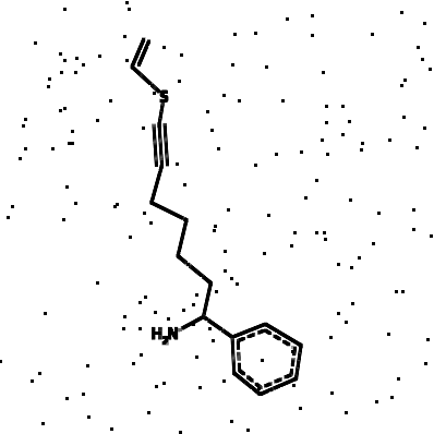 C=CSC#CCCCCC(N)c1ccccc1